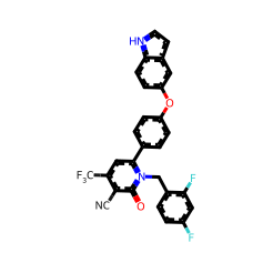 N#Cc1c(C(F)(F)F)cc(-c2ccc(Oc3ccc4[nH]ccc4c3)cc2)n(Cc2ccc(F)cc2F)c1=O